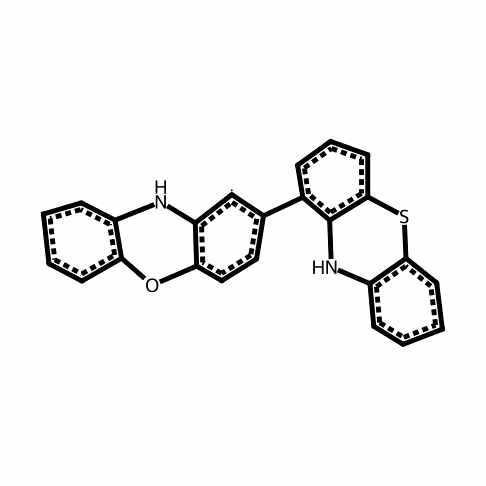 [c]1c(-c2cccc3c2Nc2ccccc2S3)ccc2c1Nc1ccccc1O2